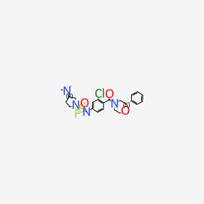 CN(C)[C@@H]1CCN(S(=O)(F)=Nc2ccc(C(=O)N3CCO[C@@H](c4ccccc4)C3)c(Cl)c2)C1